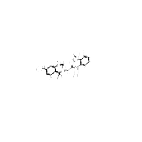 COc1ccccc1NC(=O)Cn1cnc2cc(Cl)ccc2c1=O